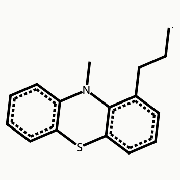 [CH2]CCc1cccc2c1N(C)c1ccccc1S2